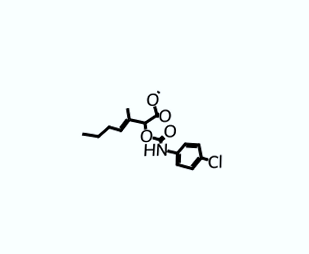 CCCC=C(C)C(OC(=O)Nc1ccc(Cl)cc1)C(=O)OC